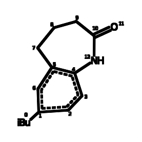 CCC(C)c1ccc2c(c1)CCCC(=O)N2